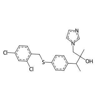 CC(c1ccc(SCc2ccc(Cl)cc2Cl)cc1)C(C)(O)Cn1ccnc1